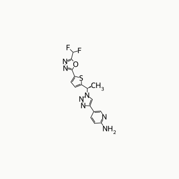 C[C@H](c1ccc(-c2nnc(C(F)F)o2)s1)n1cc(-c2ccc(N)nc2)nn1